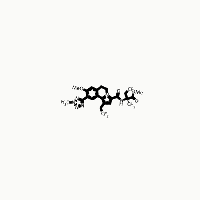 COC(=O)[C@](C)(CC(F)(F)F)NC(=O)c1cc(CC(F)(F)F)c2n1CCc1cc(OC)c(-c3nnn(C)n3)cc1-2